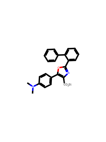 CCOC(=O)c1nc(-c2ccccc2-c2ccccc2)oc1-c1ccc(N(C)C)cc1